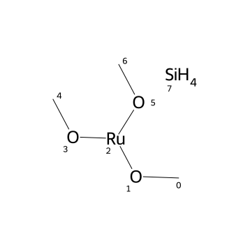 C[O][Ru]([O]C)[O]C.[SiH4]